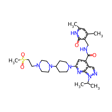 Cc1cc(C)c(CNC(=O)c2cc(N3CCC(N4CCN(CCS(C)(=O)=O)CC4)CC3)nc3c2cnn3C(C)C)c(=O)[nH]1